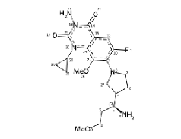 COCC[C@H](N)C1CCN(c2c(F)cc3c(=O)n(N)c(=O)n(C4CC4)c3c2OC)C1